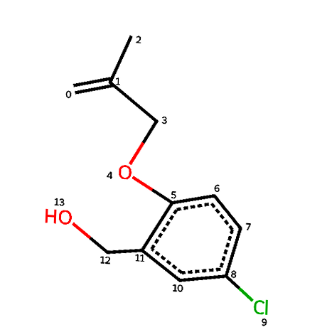 C=C(C)COc1ccc(Cl)cc1CO